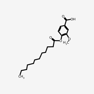 CCCCCCCCCCCC(=O)Oc1ccc(C(=O)O)cc1OC